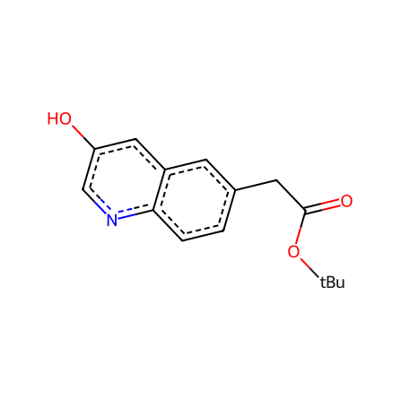 CC(C)(C)OC(=O)Cc1ccc2ncc(O)cc2c1